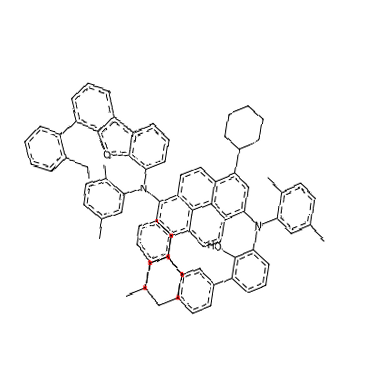 CCc1ccccc1-c1cccc(-c2cccc(N(c3cc(C)ccc3C)c3cc(C4CCCCC4)c4ccc5c(N(c6cc(C)ccc6C)c6cccc7c6oc6c(-c8ccccc8CC)cccc67)cc(C6CCCCC6)c6ccc3c4c65)c2O)c1